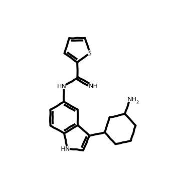 N=C(Nc1ccc2[nH]cc(C3CCCC(N)C3)c2c1)c1cccs1